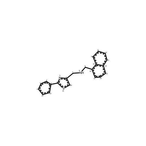 c1ccc(-c2nc(CNCc3cccc4ccccc34)cs2)cc1